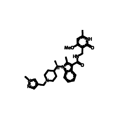 COc1cc(C)[nH]c(=O)c1CNC(=O)c1c(C)n([C@H](C)C2CCN(Cc3cnn(C)c3)CC2)c2ccccc12